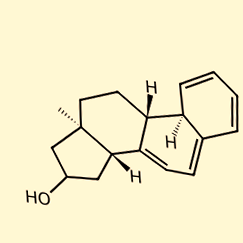 C[C@]12CC[C@H]3C(=CC=C4C=CC=C[C@@H]43)[C@@H]1CC(O)C2